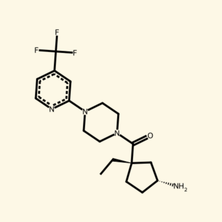 CC[C@]1(C(=O)N2CCN(c3cc(C(F)(F)F)ccn3)CC2)CC[C@@H](N)C1